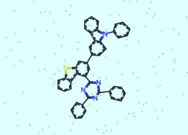 c1ccc(-c2nc(-c3ccccc3)nc(-c3cc(-c4ccc5c(c4)c4ccccc4n5-c4ccccc4)cc4sc5ccccc5c34)n2)cc1